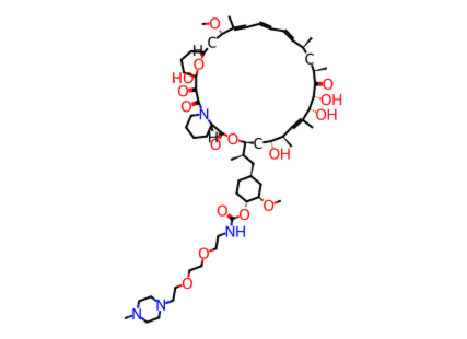 CO[C@H]1C[C@@H]2CC[C@@H](C)[C@@](O)(O2)C(=O)C(=O)N2CCCC[C@H]2C(=O)O[C@H]([C@H](C)C[C@@H]2CC[C@@H](OC(=O)NCCOCCOCCN3CCN(C)CC3)[C@H](OC)C2)C[C@@H](O)[C@H](C)/C=C(\C)[C@@H](O)[C@@H](O)C(=O)[C@H](C)C[C@H](C)/C=C/C=C/C=C/1C